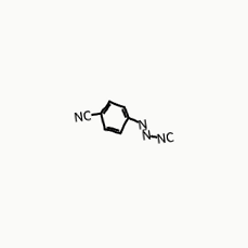 [C-]#[N+]N=Nc1ccc(C#N)cc1